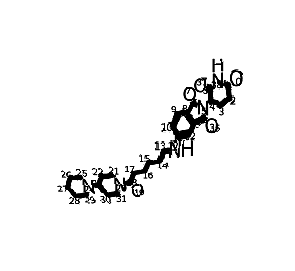 O=C1CCC(N2C(=O)c3ccc(NCCCCCC(=O)N4CCC(N5CCCCC5)CC4)cc3C2=O)C(=O)N1